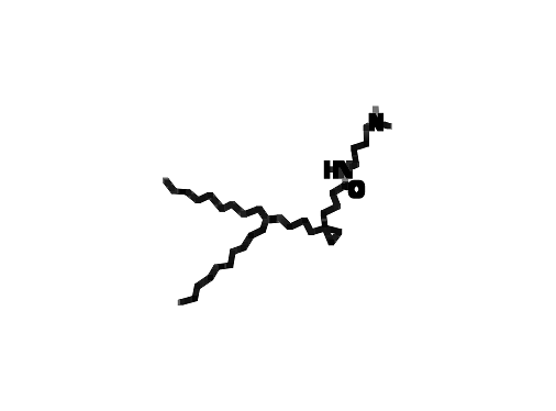 CCCCCCCCCC/C(=C\CCCC1(CCCC(=O)NCCCCN(C)C)CC1)CCCCCCCCC